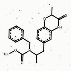 CC1Oc2ccc(CC(C)N(Cc3ccccc3)C(=O)OC(C)(C)C)cc2NC1=S